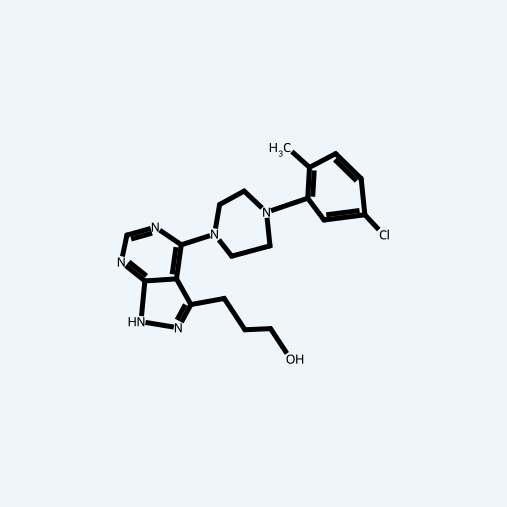 Cc1ccc(Cl)cc1N1CCN(c2ncnc3[nH]nc(CCCO)c23)CC1